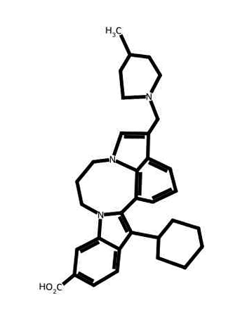 CC1CCN(Cc2cn3c4c(cccc24)-c2c(C4CCCCC4)c4ccc(C(=O)O)cc4n2CCC3)CC1